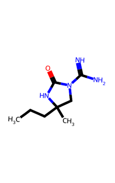 CCCC1(C)CN(C(=N)N)C(=O)N1